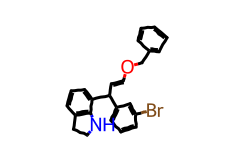 Brc1cccc(C(C=COCc2ccccc2)c2cccc3c2NCC3)c1